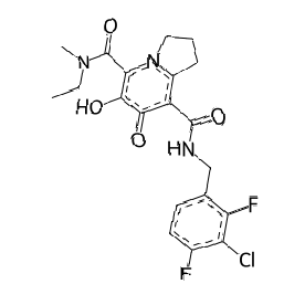 CCN(C)C(=O)c1c(O)c(=O)c(C(=O)NCc2ccc(F)c(Cl)c2F)c2n1CCC2